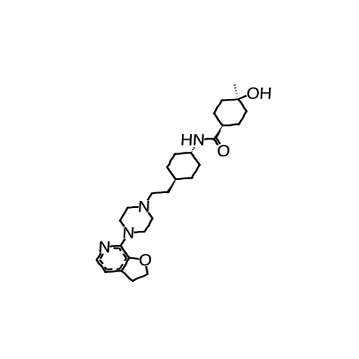 C[C@]1(O)CC[C@@H](C(=O)N[C@H]2CC[C@H](CCN3CCN(c4nccc5c4OCC5)CC3)CC2)CC1